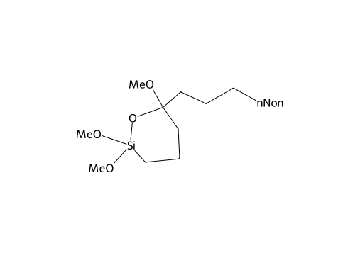 CCCCCCCCCCCCC1(OC)CCC[Si](OC)(OC)O1